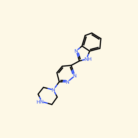 c1ccc2[nH]c(-c3ccc(N4CCNCC4)nn3)nc2c1